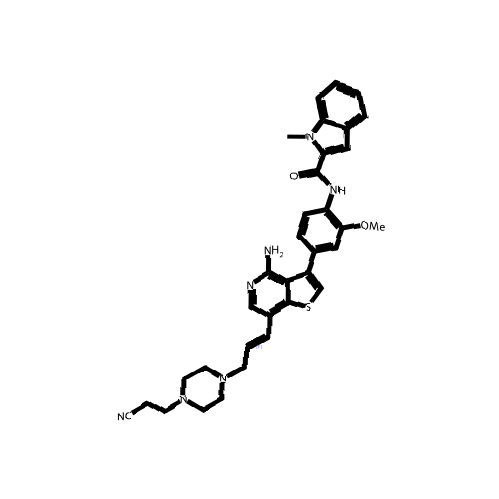 COc1cc(-c2csc3c(/C=C/CN4CCN(CCC#N)CC4)cnc(N)c23)ccc1NC(=O)c1cc2ccccc2n1C